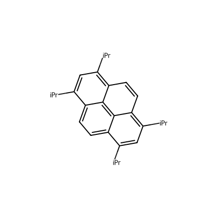 CC(C)c1cc(C(C)C)c2ccc3c(C(C)C)cc(C(C)C)c4ccc1c2c43